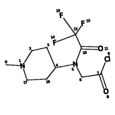 CN1CCC(N(CC(=O)Cl)C(=O)C(F)(F)F)CC1